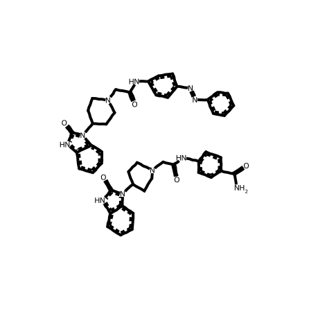 NC(=O)c1ccc(NC(=O)CN2CCC(n3c(=O)[nH]c4ccccc43)CC2)cc1.O=C(CN1CCC(n2c(=O)[nH]c3ccccc32)CC1)Nc1ccc(N=Nc2ccccc2)cc1